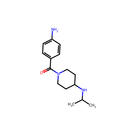 CC(C)NC1CCN(C(=O)c2ccc(N)cc2)CC1